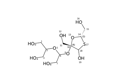 OCC(CO)OC(CO)O[C@]1(CO)O[C@H](CO)SC1O